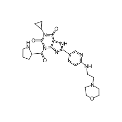 O=C(C1CCCN1)n1c(=O)n(C2CC2)c(=O)c2[nH]c(-c3ccc(NCCN4CCOCC4)nc3)nc21